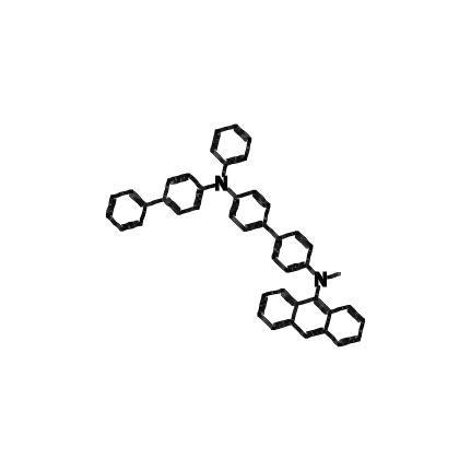 CN(c1ccc(-c2ccc(N(c3ccccc3)c3ccc(-c4ccccc4)cc3)cc2)cc1)c1c2ccccc2cc2ccccc12